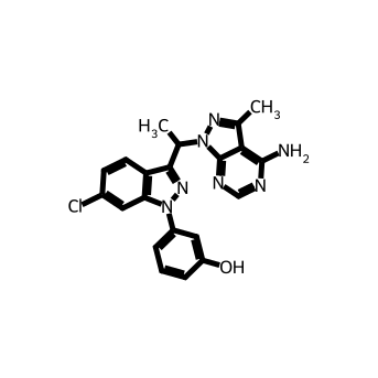 Cc1nn(C(C)c2nn(-c3cccc(O)c3)c3cc(Cl)ccc23)c2ncnc(N)c12